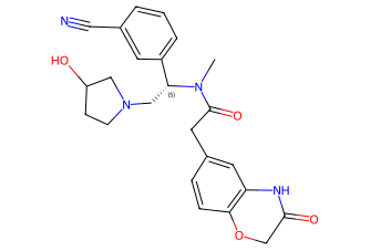 CN(C(=O)Cc1ccc2c(c1)NC(=O)CO2)[C@H](CN1CCC(O)C1)c1cccc(C#N)c1